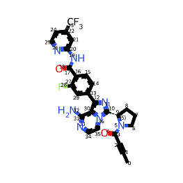 CC#CC(=O)N1CCC[C@H]1c1nc(-c2ccc(C(=O)Nc3cc(C(F)(F)F)ccn3)c(F)c2)c2c(N)nccn12